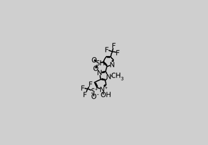 Cn1c(-c2ncc(C(F)(F)F)cc2[SH](=O)=O)nc2cc([S+]([O-])C(F)(F)F)[n+](O)cc21